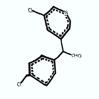 O=CC(c1ccc(Cl)cc1)c1cncc(Cl)c1